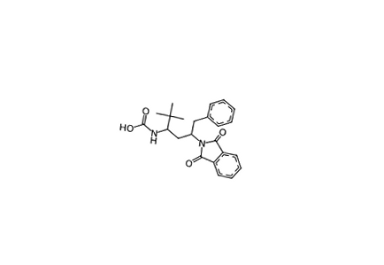 CC(C)(C)C(CC(Cc1ccccc1)N1C(=O)c2ccccc2C1=O)NC(=O)O